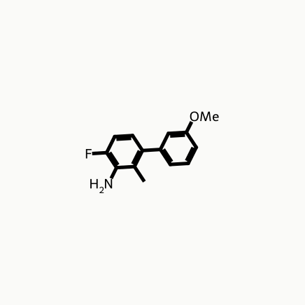 COc1cccc(-c2ccc(F)c(N)c2C)c1